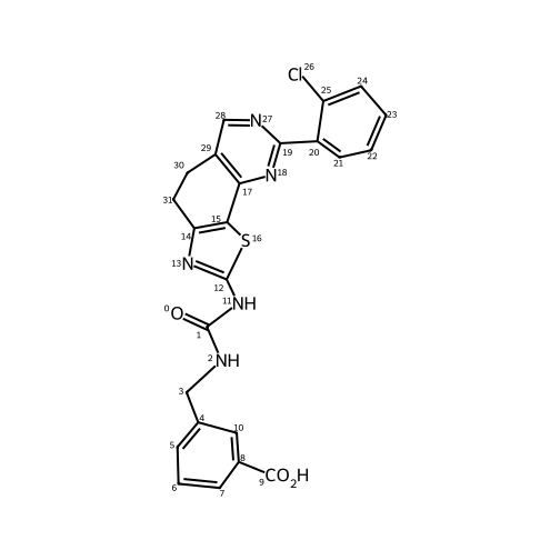 O=C(NCc1cccc(C(=O)O)c1)Nc1nc2c(s1)-c1nc(-c3ccccc3Cl)ncc1CC2